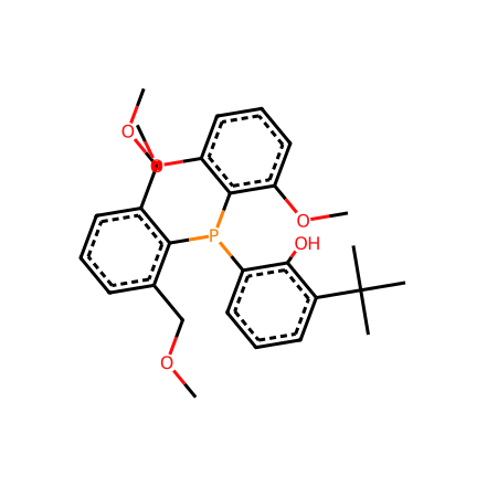 COCc1cccc(COC)c1P(c1cccc(C(C)(C)C)c1O)c1c(OC)cccc1OC